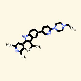 CCN1CCN(c2ccc(-c3ccc4[nH]c(-c5cc(C)nc(C)c5)c(C(C)C)c4c3)cn2)CC1